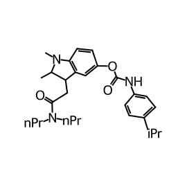 CCCN(CCC)C(=O)CC1c2cc(OC(=O)Nc3ccc(C(C)C)cc3)ccc2N(C)C1C